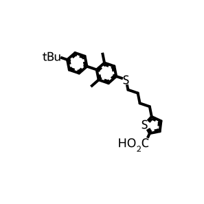 Cc1cc(SCCCCc2ccc(C(=O)O)s2)cc(C)c1-c1ccc(C(C)(C)C)cc1